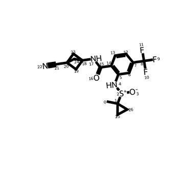 CC1([S+]([O-])Nc2cc(C(F)(F)F)ccc2C(=O)NC23CC(C#N)(C2)C3)CC1